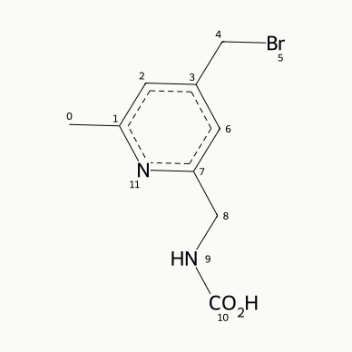 Cc1cc(CBr)cc(CNC(=O)O)n1